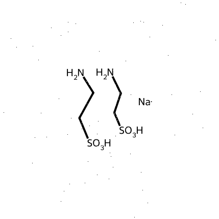 NCCS(=O)(=O)O.NCCS(=O)(=O)O.[Na]